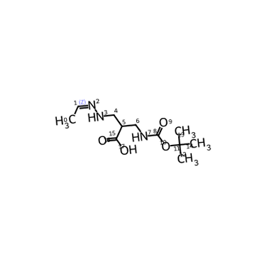 C/C=N\NCC(CNC(=O)OC(C)(C)C)C(=O)O